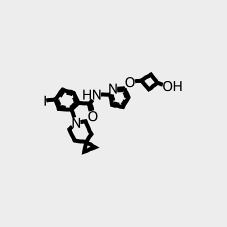 O=C(Nc1cccc(OC2CC(O)C2)n1)c1ccc(I)cc1N1CCC2(CC1)CC2